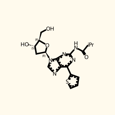 CC(C)C(=O)Nc1nc(-c2cccs2)c2ncn([C@H]3C[C@H](O)[C@@H](CO)O3)c2n1